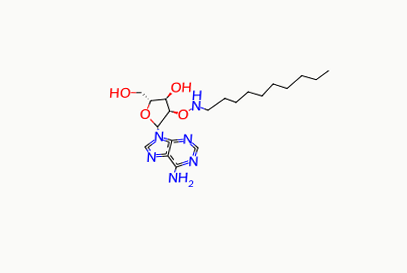 CCCCCCCCCCNO[C@@H]1[C@H](O)[C@@H](CO)O[C@H]1n1cnc2c(N)ncnc21